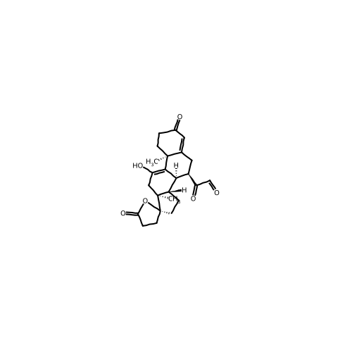 C[C@]12CCC(=O)C=C1C[C@@H](C(=O)C=O)[C@@H]1C2=C(O)C[C@@]2(C)[C@H]1CC[C@@]21CCC(=O)O1